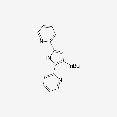 CCCCc1cc(-c2ccccn2)[nH]c1-c1ccccn1